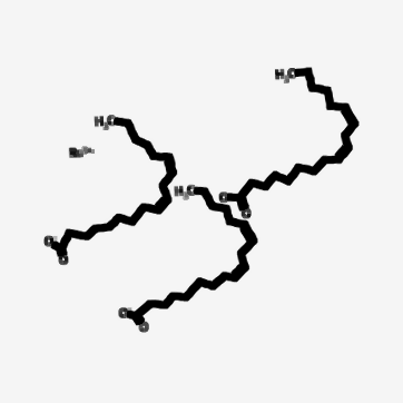 CCCCC/C=C\C/C=C\CCCCCCCC(=O)[O-].CCCCC/C=C\C/C=C\CCCCCCCC(=O)[O-].CCCCC/C=C\C/C=C\CCCCCCCC(=O)[O-].[Ru+3]